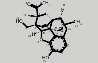 CC(=O)[C@@H]1C[C@@]23C=C[C@]1(CO)[C@@H]1Oc4c(O)ccc5c4[C@@]12CCN(C)[C@@H]3C5